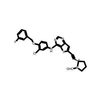 O=CN1CCC[C@@H]1C#Cc1cc2ncnc(Nc3ccc(OCc4cccc(F)c4)c(Cl)c3)c2s1